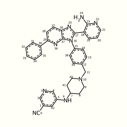 N#Cc1cncc(NC2CCN(Cc3ccc(-n4c(-c5cccnc5N)nc5ccc(-c6ccccc6)nc54)cc3)CC2)c1